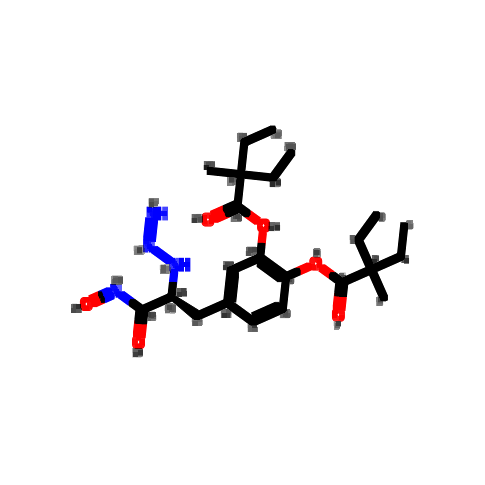 CCC(C)(CC)C(=O)Oc1ccc(C[C@H](NN=N)C(=O)N=O)cc1OC(=O)C(C)(CC)CC